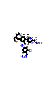 CCCNC(=O)c1ccc(-c2cc3c(cc2C(=O)Nc2ccc(CN)c(Cl)c2)-c2sccc2CCO3)c(C(=O)O)n1